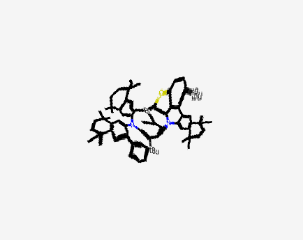 CC1B2C3=C4C5C(=C(C(C)(C)C)C=CC5S3)c3cc5c(cc3N4/C1=C/C(C(C)(C)C)=C\N(c1cc3c(cc1-c1ccccc1)C(C)(C)CCC3(C)C)c1cc3c(cc12)C(C)(C)CCC3(C)C)C(C)(C)CCC5(C)C